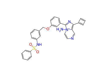 N[N+]12C=CN=CC1=C(C1=CC=C1)N=C2c1cccc(OCc2cccc(NS(=O)(=O)c3ccccc3)c2)c1